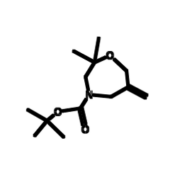 C=C1COC(C)(C)CN(C(=O)OC(C)(C)C)C1